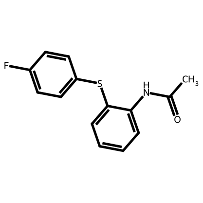 CC(=O)Nc1ccccc1Sc1ccc(F)cc1